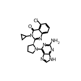 Nc1nc(N2CCC[C@H]2c2nc3cccc(Cl)c3c(=O)n2C2CC2)c2nc[nH]c2n1